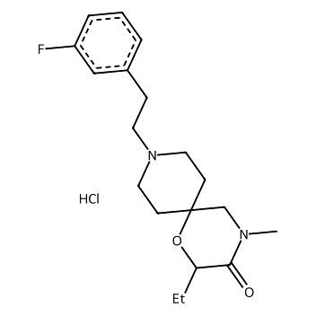 CCC1OC2(CCN(CCc3cccc(F)c3)CC2)CN(C)C1=O.Cl